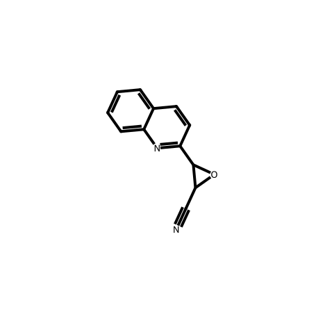 N#CC1OC1c1ccc2ccccc2n1